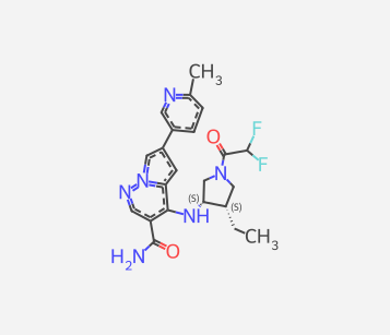 CC[C@H]1CN(C(=O)C(F)F)C[C@H]1Nc1c(C(N)=O)cnn2cc(-c3ccc(C)nc3)cc12